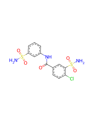 NS(=O)(=O)c1cccc(NC(=O)c2ccc(Cl)c(S(N)(=O)=O)c2)c1